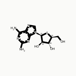 Nc1nc(N)c2ncn([C@H]3S[C@@H](CO)[C@H](O)[C@H]3O)c2n1